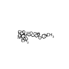 CN1CCC(OC(=O)C[C@H](O)C[C@H](O)CCn2c(=O)c3c(ncn3C)n(C)c2=O)CC1